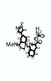 CNC1CCN(c2nc(C(=O)OC(N)=O)cc3ccccc23)c2ccc(-c3cnn(C)c3)cc21